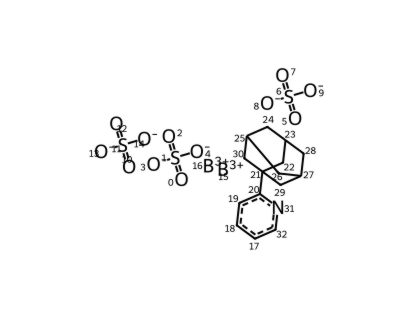 O=S(=O)([O-])[O-].O=S(=O)([O-])[O-].O=S(=O)([O-])[O-].[B+3].[B+3].c1ccc(C23CC4CC(CC(C4)C2)C3)nc1